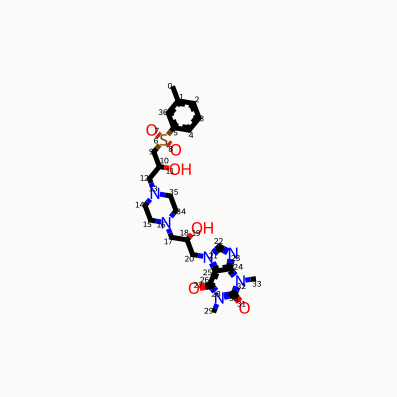 Cc1cccc(S(=O)(=O)CC(O)CN2CCN(CC(O)Cn3cnc4c3c(=O)n(C)c(=O)n4C)CC2)c1